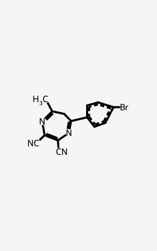 CC1=NC(C#N)=C(C#N)N=C(c2ccc(Br)cc2)C1